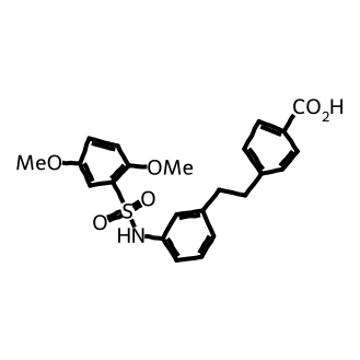 COc1ccc(OC)c(S(=O)(=O)Nc2cccc(CCc3ccc(C(=O)O)cc3)c2)c1